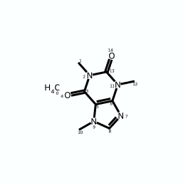 C.Cn1c(=O)c2c(ncn2C)n(C)c1=O